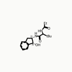 CCC(=O)NC(C(=O)N[C@H]1Cc2ccccc2[C@H]1O)C(C)(C)C